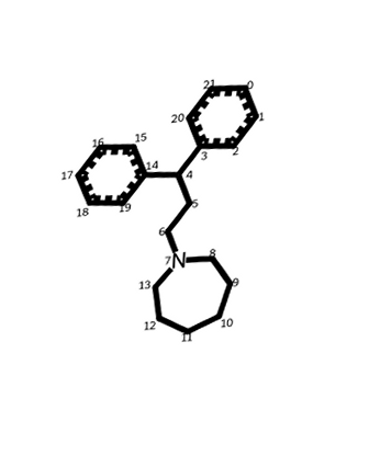 c1ccc(C(CCN2CCCCCC2)c2ccccc2)cc1